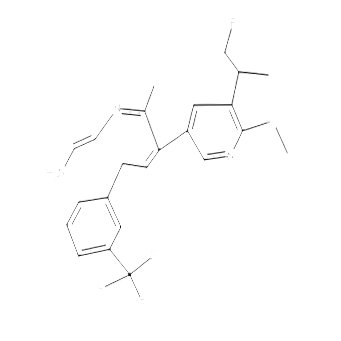 COc1ncc(C(=C/Cc2cccc(C(F)(F)F)c2)/C(C)=N\C=C\N)cc1C(C)CF